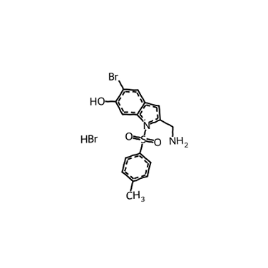 Br.Cc1ccc(S(=O)(=O)n2c(CN)cc3cc(Br)c(O)cc32)cc1